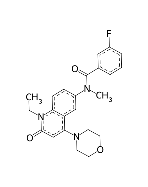 CCn1c(=O)cc(N2CCOCC2)c2cc(N(C)C(=O)c3cccc(F)c3)ccc21